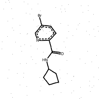 O=C(NC1CCCC1)c1ccc(Br)cn1